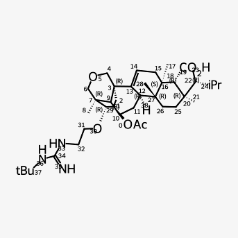 CC(=O)O[C@@H]1C[C@@]23COC[C@@](C)(C2CC[C@H]2C3=CC[C@@]3(C)[C@H](C(=O)O)[C@@](C)([C@H](C)C(C)C)CC[C@]23C)[C@H]1OCCNC(=N)NC(C)(C)C